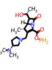 C[C@@H](O)C1C(=O)N2C(C(=O)OP)=C(CN3CC[C@H](N(C)C)C3)[C@H](C)[C@H]12